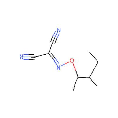 CCC(C)C(C)ON=C(C#N)C#N